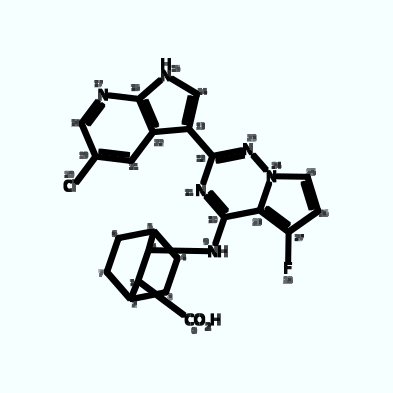 O=C(O)C1C2CCC(CC2)C1Nc1nc(-c2c[nH]c3ncc(Cl)cc23)nn2ccc(F)c12